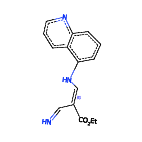 CCOC(=O)/C(C=N)=C/Nc1cccc2ncccc12